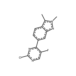 Cc1c2ccc(-c3nc(Cl)ncc3F)cc2nn1C